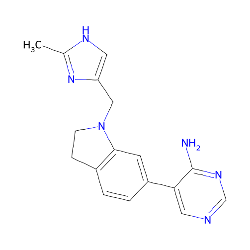 Cc1nc(CN2CCc3ccc(-c4cncnc4N)cc32)c[nH]1